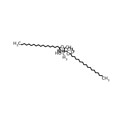 CCCCCCCCCCCCCCCCCC(=O)OC(C)C(C)(NO)C(C)OC(=O)CCCCCCCCCCCCCCCCC